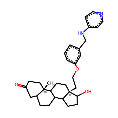 C[C@]12CCC(=O)CC1CCC1C2CC[C@]2(CCOc3cccc(CNc4ccncc4)c3)C(O)CCC12